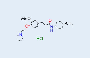 COc1cc(CCC(=O)N[C@H]2CC[C@H](C)CC2)ccc1OCCN1CCCC1.Cl